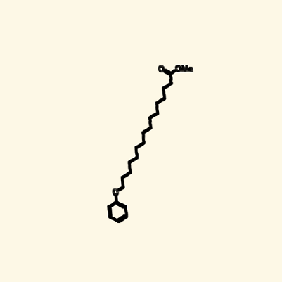 COC(=O)CCCCCCCCCCCCCCCOc1ccccc1